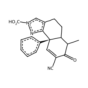 CC1C(=O)C(C#N)=C[C@]2(c3ccccc3)c3nn(C(=O)O)cc3CCC12